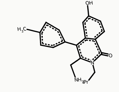 Cc1ccc(-c2c(CN)n(CC(C)C)c(=O)c3ccc(O)cc23)cc1